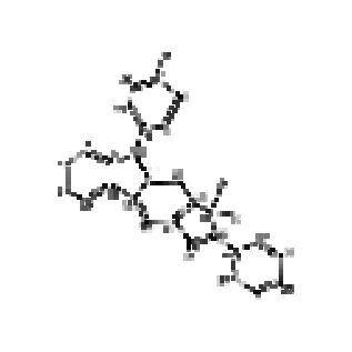 Cc1ccc(-n2c3ccccc3c3cc4c(cc32)C(C)(C)C(c2ccccc2)=N4)cc1